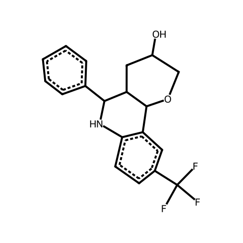 OC1COC2c3cc(C(F)(F)F)ccc3NC(c3ccccc3)C2C1